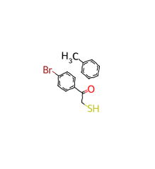 Cc1ccccc1.O=C(CS)c1ccc(Br)cc1